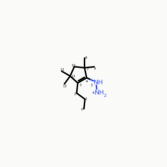 CCCC1=C(NN)C(C)(C)CC1(C)C